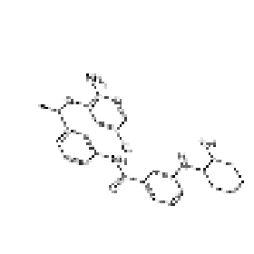 C[C@@H](Oc1cc(Cl)cnc1N)c1cccc(NC(=O)c2cccc(NC3CCCCC3O)c2)c1